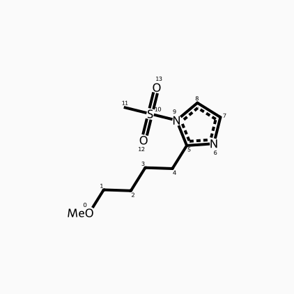 COCCCCc1nccn1S(C)(=O)=O